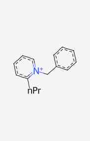 CCCc1cccc[n+]1Cc1ccccc1